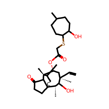 C=C[C@]1(C)C[C@@H](OC(=O)CSC2CCC(C)CCC2O)[C@]2(C)C(C)CCC3(CCC(=O)C32)[C@@H](C)C1O